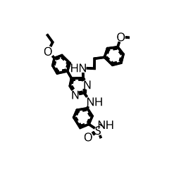 CCOc1ccc(-c2cnc(Nc3cccc(S(C)(=N)=O)c3)nc2NCCc2cccc(OC)c2)cc1